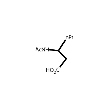 CCCC(CC(=O)O)NC(C)=O